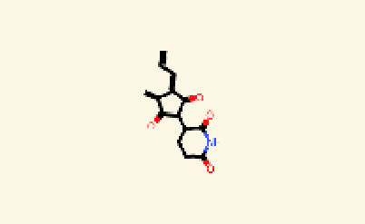 C=C/C=C1\C(=C)C(=O)C(C2CCC(=O)NC2=O)C1=O